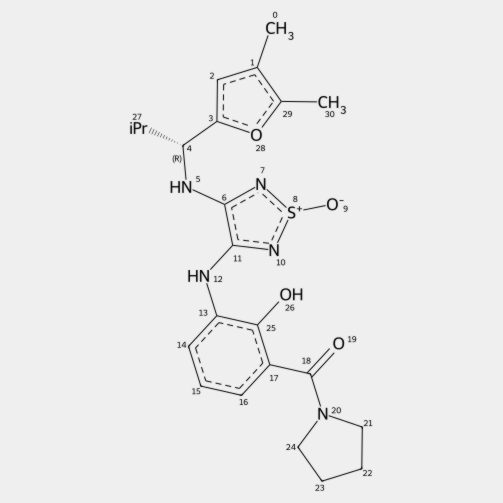 Cc1cc([C@H](Nc2n[s+]([O-])nc2Nc2cccc(C(=O)N3CCCC3)c2O)C(C)C)oc1C